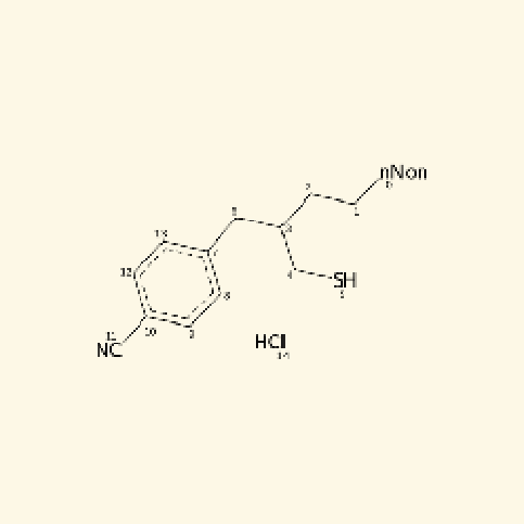 CCCCCCCCCCCC(CS)Cc1ccc(C#N)cc1.Cl